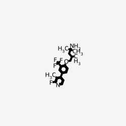 Cc1c(-c2ccc(OCC(C)CC(C)(C)N)c(C(F)(F)F)c2)ccnc1F